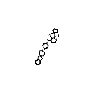 c1ccc2c(c1)CC1(CCN(c3cnc(Sc4ccnc5c4OCC4(CCCC4)N5)cn3)CC1)C2